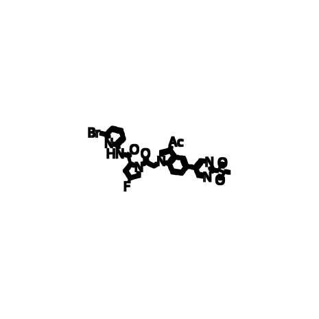 CC(=O)c1cn(CC(=O)N2C[C@H](F)C[C@H]2C(=O)Nc2cccc(Br)n2)c2ccc(-c3cnc(S(C)(=O)=O)nc3)cc12